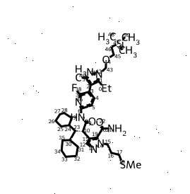 CCc1c(-c2ccc(NC(=O)[C@H](c3cnn(CCCSC)c3C(N)=O)C(C3CCCCC3)C3CCCCC3)nc2F)c(C)nn1COCC[Si](C)(C)C